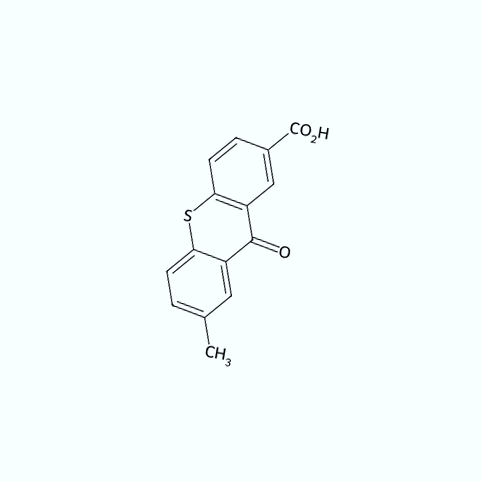 Cc1ccc2sc3ccc(C(=O)O)cc3c(=O)c2c1